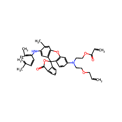 C=CCOCCN(CCOC(=O)C=C)c1ccc2c(c1)Oc1cc(C)c(NC(/C=C\C(=C)C)=C(\C)CC)cc1C21OC(=O)c2ccccc21